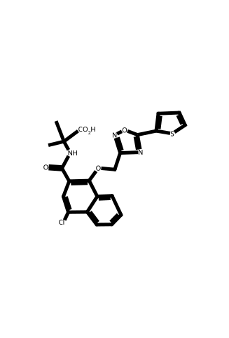 CC(C)(NC(=O)c1cc(Cl)c2ccccc2c1OCc1noc(-c2cccs2)n1)C(=O)O